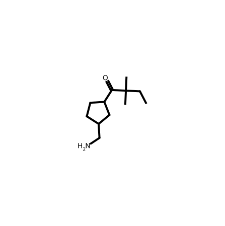 CCC(C)(C)C(=O)C1CCC(CN)C1